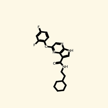 O=C(NCCC1CCCCC1)c1c[nH]c2ncc(Oc3ccc(F)cc3F)nc12